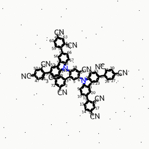 N#Cc1cc(-c2cc(-n3c4ccc(-c5ccc(C#N)cc5C#N)cc4c4cc(-c5ccc(C#N)cc5C#N)ccc43)c(C#N)cc2-n2c3ccc(-c4ccc(C#N)cc4C#N)cc3c3cc(-c4ccc(C#N)cc4C#N)ccc32)cc(C(F)(F)F)c1